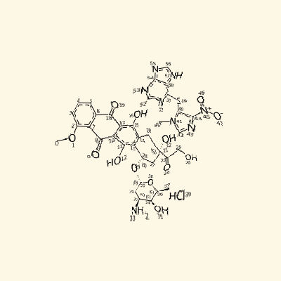 COc1cccc2c1C(=O)c1c(O)c3c(c(O)c1C2=O)C[C@@](O)(C(=O)CO)C[C@@H]3O[C@H]1C[C@H](N)[C@H](O)[C@H](C)O1.Cl.Cn1cnc([N+](=O)[O-])c1Sc1ncnc2nc[nH]c12